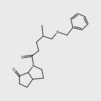 CC(CCC(=O)N1CCC2CCC(=O)C21)COCc1ccccc1